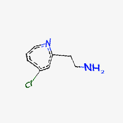 NCCc1cc(Cl)ccn1